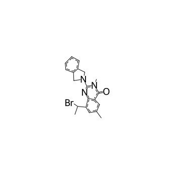 Cc1cc(C(C)Br)c2nc(N3Cc4ccccc4C3)n(C)c(=O)c2c1